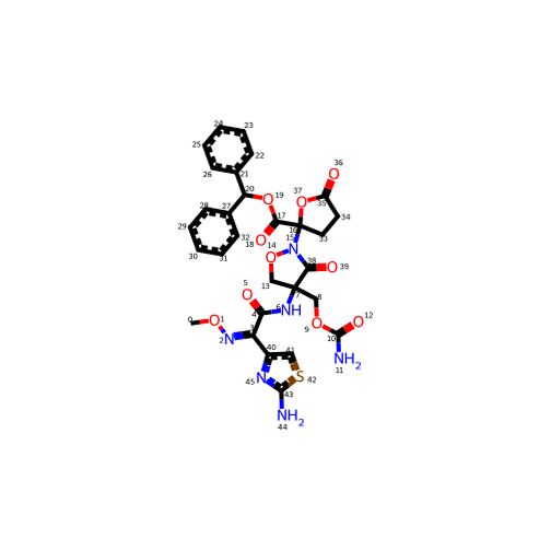 CO/N=C(\C(=O)NC1(COC(N)=O)CON(C2(C(=O)OC(c3ccccc3)c3ccccc3)CCC(=O)O2)C1=O)c1csc(N)n1